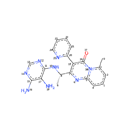 Cc1cccc2nc([C@H](C)Nc3ncnc(N)c3N)c(-c3ccccn3)c(=O)n12